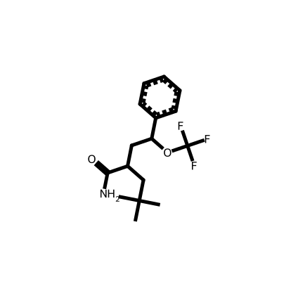 CC(C)(C)CC(CC(OC(F)(F)F)c1ccccc1)C(N)=O